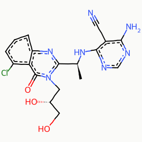 C[C@H](Nc1ncnc(N)c1C#N)c1nc2cccc(Cl)c2c(=O)n1C[C@@H](O)CO